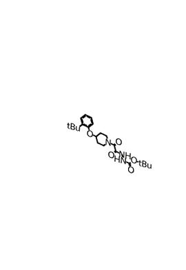 CC(C)(C)OC(=O)NNC(=O)C(=O)N1CCC(Oc2ccccc2C(C)(C)C)CC1